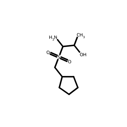 CC(O)C(N)S(=O)(=O)CC1CCCC1